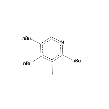 CCCCc1cnc(CCCC)c(C)c1CCCC